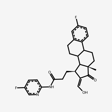 C[C@]12CCC3c4ccc(F)cc4CCC3C1[C@H](CCC(=O)Nc1ccc(F)cn1)/C(=C/O)C2=O